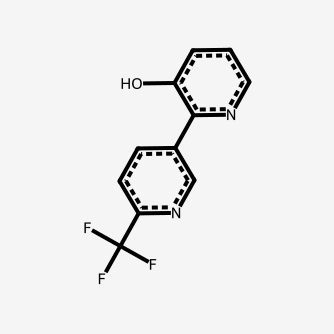 Oc1cccnc1-c1ccc(C(F)(F)F)nc1